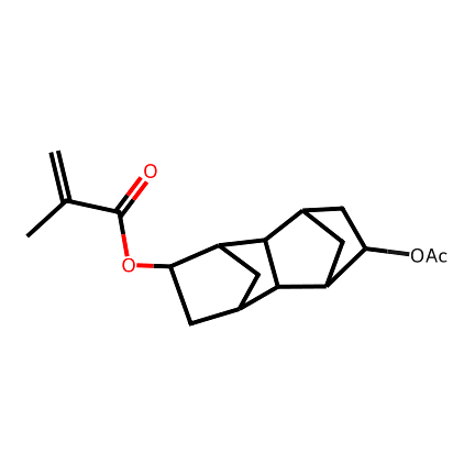 C=C(C)C(=O)OC1CC2CC1C1C3CC(OC(C)=O)C(C3)C21